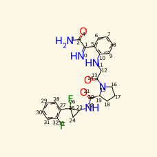 N=C(C(N)=O)c1ccccc1NCC(=O)N1CCC[C@H]1C(=O)NC1CC1(F)c1ccccc1F